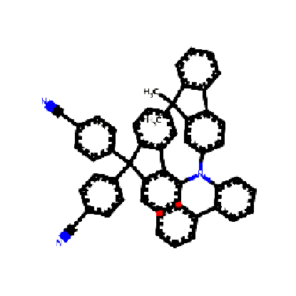 CC1(C)c2ccccc2-c2ccc(N(c3ccccc3-c3ccccc3)c3cccc4c3-c3ccccc3C4(c3ccc(C#N)cc3)c3ccc(C#N)cc3)cc21